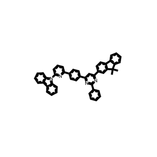 CC1(C)c2ccccc2-c2ccc(-c3cc(-c4ccc(-c5cccc(-n6c7ccccc7c7ccccc76)n5)cc4)nc(-c4ccccc4)n3)cc21